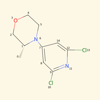 C[C@@H]1COCCN1c1cc(Cl)nc(Cl)c1